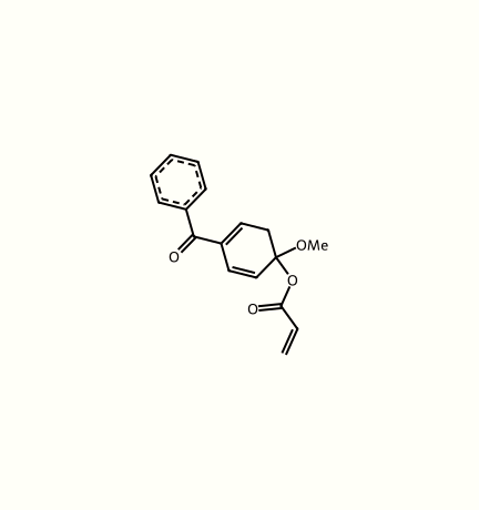 C=CC(=O)OC1(OC)C=CC(C(=O)c2ccccc2)=CC1